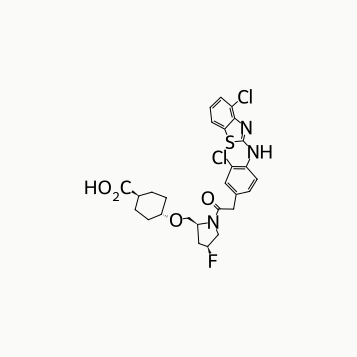 O=C(Cc1ccc(Nc2nc3c(Cl)cccc3s2)c(Cl)c1)N1C[C@@H](F)C[C@H]1CO[C@H]1CC[C@H](C(=O)O)CC1